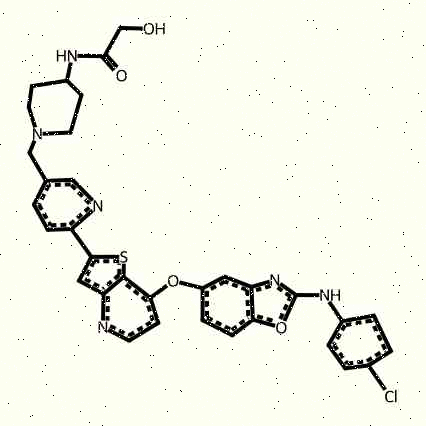 O=C(CO)NC1CCN(Cc2ccc(-c3cc4nccc(Oc5ccc6oc(Nc7ccc(Cl)cc7)nc6c5)c4s3)nc2)CC1